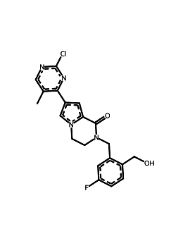 Cc1cnc(Cl)nc1-c1cc2n(c1)CCN(Cc1cc(F)ccc1CO)C2=O